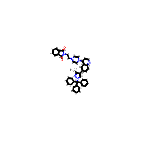 Cc1nn(C(c2ccccc2)(c2ccccc2)C2C=CC=CC2)cc1-c1ccc2nccc(N3C=CN(CCN4C(=O)c5ccccc5C4=O)C=C3)c2c1